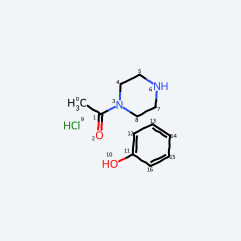 CC(=O)N1CCNCC1.Cl.Oc1ccccc1